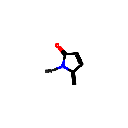 C=C1C=CC(=O)N1CCC